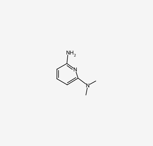 CN(C)c1cccc(N)n1